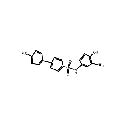 Nc1cc(NS(=O)(=O)c2ccc(-c3ccc(C(F)(F)F)cc3)cc2)ccc1O